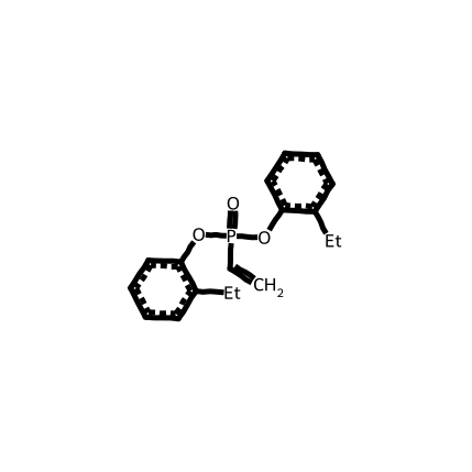 C=CP(=O)(Oc1ccccc1CC)Oc1ccccc1CC